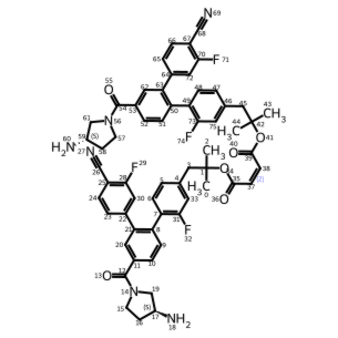 CC(C)(Cc1ccc(-c2ccc(C(=O)N3CC[C@H](N)C3)cc2-c2ccc(C#N)c(F)c2)c(F)c1)OC(=O)/C=C\C(=O)OC(C)(C)Cc1ccc(-c2ccc(C(=O)N3CC[C@H](N)C3)cc2-c2ccc(C#N)c(F)c2)c(F)c1